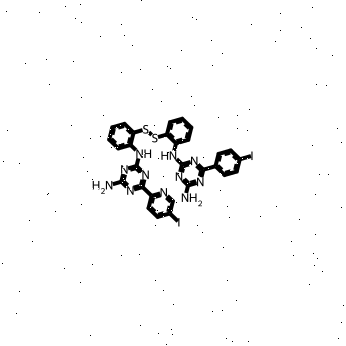 Nc1nc(Nc2ccccc2SSc2ccccc2Nc2nc(N)nc(-c3ccc(I)cn3)n2)nc(-c2ccc(I)cc2)n1